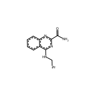 CC(C)CNc1nc(C(N)=O)nc2ccccc12